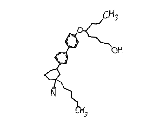 CCCCCCC1(C#N)CCCC(c2ccc(-c3ccc(OC(CCC)CCCCO)cc3)cc2)C1